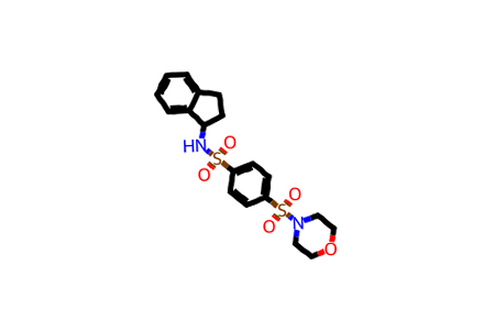 O=S(=O)(NC1CCc2ccccc21)c1ccc(S(=O)(=O)N2CCOCC2)cc1